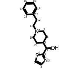 OC(c1nccs1)C1CCN(CCc2ccccc2)CC1